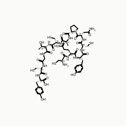 C[C@H](NC(=O)[C@@H]1CCCN1C(=O)[C@H](CC(N)=O)NC(=O)[C@H](CS)NC(=O)[C@H](Cc1ccc(O)cc1)NC(=O)[C@H](CCC(=O)O)NC(=O)[C@@H](N)CS)C(=O)N[C@@H](CS)C(=O)N[C@H](C(=O)NCC(=O)N[C@@H](CS)C(=O)N[C@@H](Cc1ccc(O)cc1)C(=O)O)[C@@H](C)O